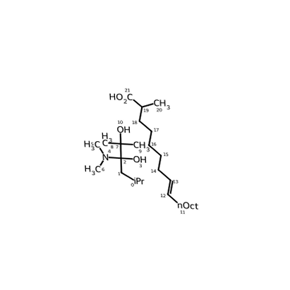 CC(C)CC(O)(N(C)C)C(C)(C)O.CCCCCCCCC=CCCCCCC(C)C(=O)O